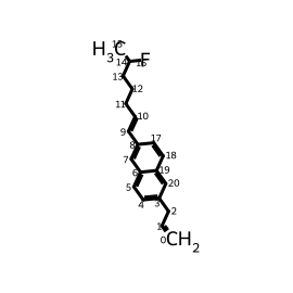 C=CCc1ccc2cc(C=CCCCC(C)F)ccc2c1